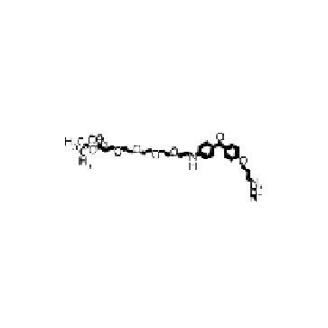 CC(C)(C)OC(=O)CCOCCOCCOCCOCCNc1ccc(C(=O)c2ccc(OCCCN=[N+]=[N-])cc2)cc1